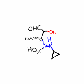 CCC[C@@H](C(O)C=O)N(NC1CC1)C(=O)O